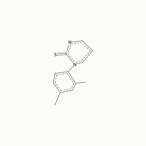 Cc1ccc(-n2cccnc2=S)c(C)c1